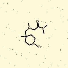 CC(C)N1CCC(C)(CN(C)CC(=O)N(C)C)CC1